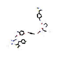 Cc1ncsc1-c1ccc(CNC(=O)[C@@H]2CCCN2C(=O)C(NC(=O)COCC#CCOc2ccc([C@@H](C)NC(=O)C[C@@H]3N=C(c4ccc(Cl)cc4)c4c(sc(C)c4C)-n4c(C)nnc43)cc2)C(C)(C)C)cc1